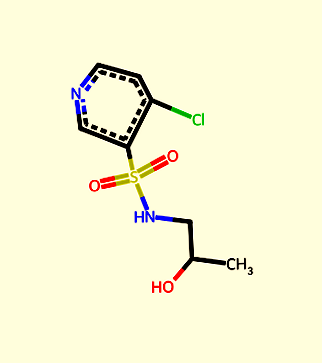 CC(O)CNS(=O)(=O)c1cnccc1Cl